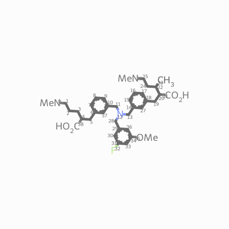 CNCCCC(Cc1cccc(CN(Cc2cccc(CC(C(=O)O)C(C)CCNC)c2)Cc2cc(F)cc(OC)c2)c1)C(=O)O